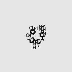 Cc1nnn(-c2ccc(C(C)N3C=C4C5=C(C[C@@H](C)N(C(=O)c6ccc(Cl)c(Cl)c6)C5)NN4[C@H](C)C3)cn2)n1